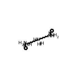 I.I.NC(=NC1CCCCC1)NCCCCCCCCNCCCCCCCCNC(N)=NC1CCCCC1